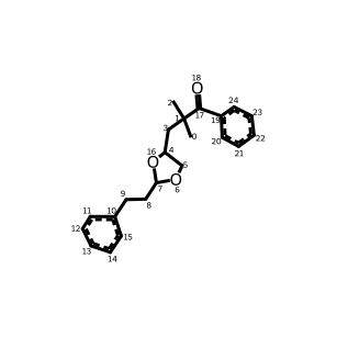 CC(C)(CC1COC(CCc2ccccc2)O1)C(=O)c1ccccc1